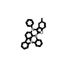 CC1C=Cc2oc3c(c2C1)N(c1ccccc1)c1ccc2c4ccccc4n4c2c1B3c1ccccc1-4